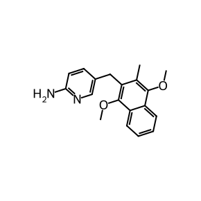 COc1c(C)c(Cc2ccc(N)nc2)c(OC)c2ccccc12